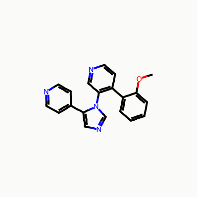 COc1ccccc1-c1ccncc1-n1cncc1-c1ccncc1